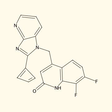 O=c1cc(Cn2c(C3=CC=C3)nc3ncccc32)c2ccc(F)c(F)c2[nH]1